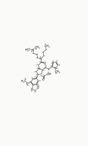 CCCCN(CCCN(C)C)C(=O)CN1C[C@H](c2cc(OC)c3c(c2)OCO3)[C@@H](C(=O)O)[C@@H]1CCc1nccn1C